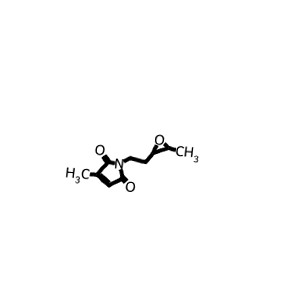 CC1=CC(=O)N(CCC2OC2C)C1=O